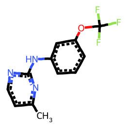 Cc1ccnc(Nc2cccc(OC(F)(F)F)c2)n1